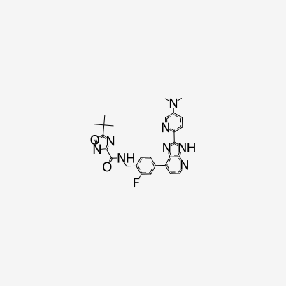 CN(C)c1ccc(-c2nc3c(-c4ccc(CNC(=O)c5noc(C(C)(C)C)n5)c(F)c4)ccnc3[nH]2)nc1